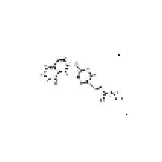 O=C(/C=C/c1ccc(Sc2ccc3cccnc3c2)cc1)NO